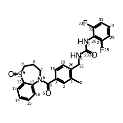 Cc1cc(C(=O)N2CCC[S+]([O-])c3ccccc32)ccc1CNC(=O)Nc1c(F)cccc1F